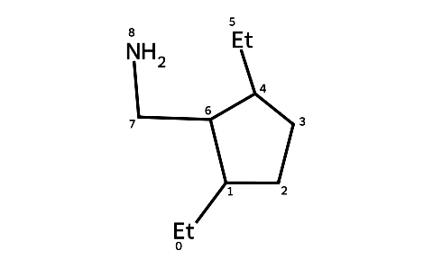 CCC1CCC(CC)C1CN